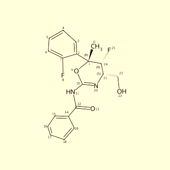 C[C@]1(c2ccccc2F)OC(NC(=O)c2ccccc2)=N[C@@H](CO)[C@H]1F